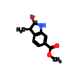 COC(=O)c1ccc2c(c1)N[C@@H](Br)C2C